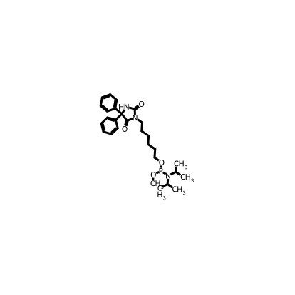 COP(OCCCCCCN1C(=O)NC(c2ccccc2)(c2ccccc2)C1=O)N(C(C)C)C(C)C